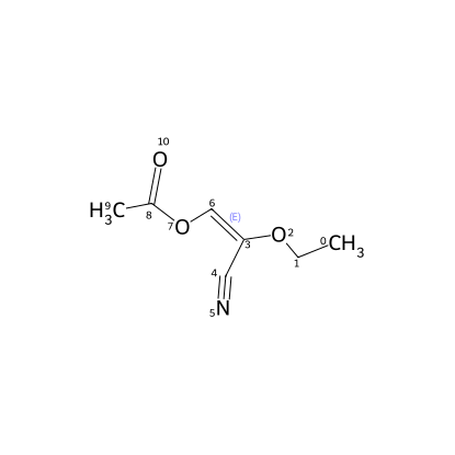 CCO/C(C#N)=C/OC(C)=O